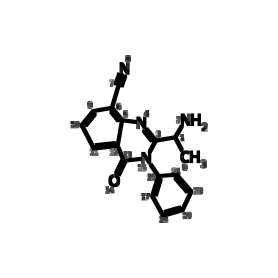 CC(N)c1nc2c(C#N)cccc2c(=O)n1-c1ccccc1